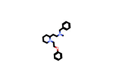 CN(CCC1CCCCN1CCOc1ccccc1)Cc1ccccc1